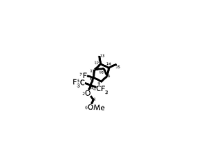 COCOC(C(F)(F)F)(C(F)(F)F)C1(F)CC2CC1C(C)C2C